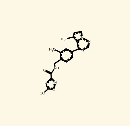 Cc1cc(-c2ncnn3ccc(C)c23)ccc1CNC(=O)c1noc(C(C)(C)C)n1